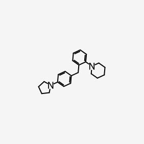 c1ccc(N2CCCCC2)c(Cc2ccc(N3CCCC3)cc2)c1